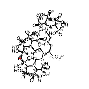 O=C(O)[C@H](CSCCN(C(P(=O)(O)O)P(=O)(O)O)C(P(=O)(O)O)P(=O)(O)O)N(CCN(C(P(=O)(O)O)P(=O)(O)O)C(P(=O)(O)O)P(=O)(O)O)CCN(C(P(=O)(O)O)P(=O)(O)O)C(P(=O)(O)O)P(=O)(O)O